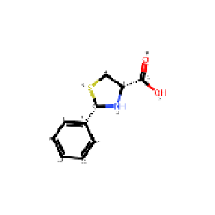 O=C(O)[C@H]1CS[C@@H](c2ccccc2)N1